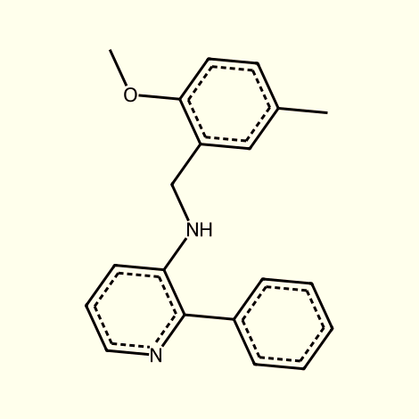 COc1ccc(C)cc1CNc1cccnc1-c1ccccc1